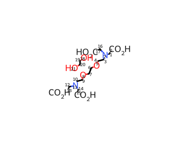 O=C(O)CN(CCOCCOCCN(CC(=O)O)CC(=O)O)CC(=O)O.OCCO